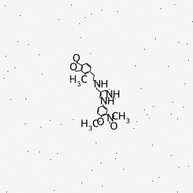 COc1ccc(N/C=C(\C=N)CNCCc2ccc3c(c2C)COC3=O)cc1N(C)C=O